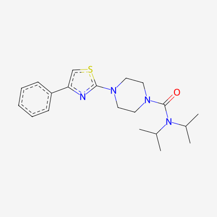 CC(C)N(C(=O)N1CCN(c2nc(-c3ccccc3)cs2)CC1)C(C)C